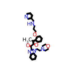 Cc1c(C(=O)c2nc3ccccc3n2CCN2CCOCC2)oc2cccc(OCCCNCc3cccnc3)c12